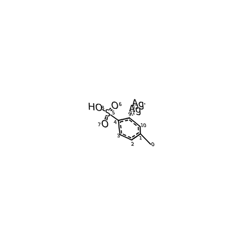 Cc1ccc(S(=O)(=O)O)cc1.[Ag].[Ag]